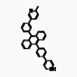 Cc1ccc(-c2cccc(-c3c4ccccc4c(-c4ccc(C5=CCNC=C5)cc4)c4ccccc34)c2)cn1